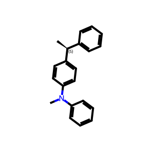 C[C@@H](c1ccccc1)c1ccc(N(C)c2ccccc2)cc1